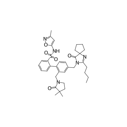 CCCCC1=NC2(CCCC2)C(=O)N1Cc1ccc(-c2ccccc2S(=O)(=O)Nc2cc(C)no2)c(CN2CCC(C)(C)C2=O)c1